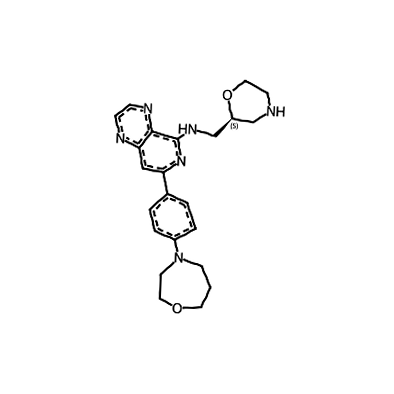 c1cnc2c(NC[C@@H]3CNCCO3)nc(-c3ccc(N4CCCOCC4)cc3)cc2n1